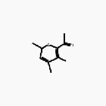 CC(=O)C1=C(C)C(C)=CC(C)S1